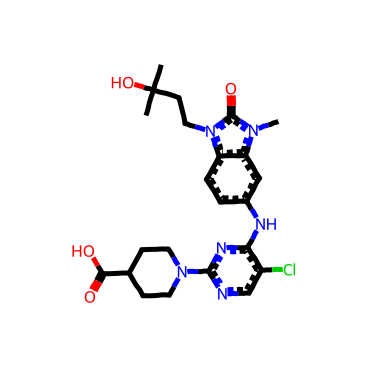 Cn1c(=O)n(CCC(C)(C)O)c2ccc(Nc3nc(N4CCC(C(=O)O)CC4)ncc3Cl)cc21